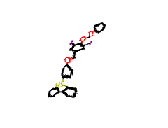 Ic1cc(COc2ccc([SH]3c4ccccc4-c4ccccc43)cc2)cc(I)c1OCOc1ccccc1